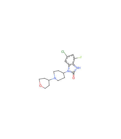 O=c1[nH]c2c(F)cc(Cl)cc2n1C1CCN(C2CCOCC2)CC1